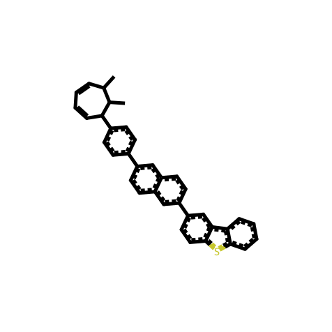 CC1C=CC=CC(c2ccc(-c3ccc4cc(-c5ccc6sc7ccccc7c6c5)ccc4c3)cc2)C1C